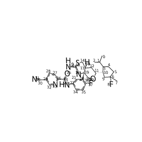 CC(C)C1CCC(C)(F)CC1[C@H]1C[C@H]2CSC(N)=N[C@@]2(c2cc(NC(=O)c3ccc(C#N)cn3)ccc2F)CO1